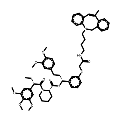 CC[C@H](C(=O)N1CCCC[C@H]1C(=O)O[C@H](CCc1ccc(OC)c(OC)c1)c1cccc(OCC(=O)NCCCCN2Cc3ccccc3/C(C)=C\c3ccccc32)c1)c1cc(OC)c(OC)c(OC)c1